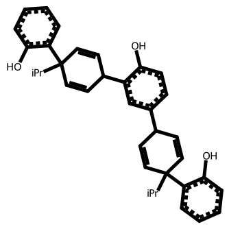 CC(C)C1(c2ccccc2O)C=CC(c2ccc(O)c(C3C=CC(c4ccccc4O)(C(C)C)C=C3)c2)C=C1